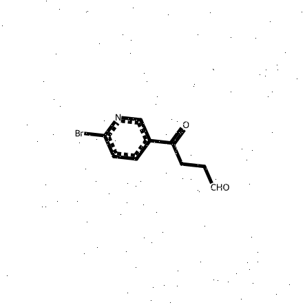 O=CCCC(=O)c1ccc(Br)nc1